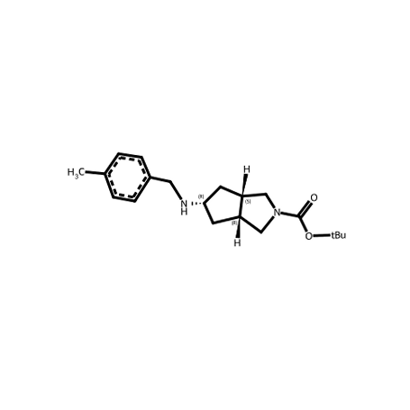 Cc1ccc(CN[C@@H]2C[C@@H]3CN(C(=O)OC(C)(C)C)C[C@@H]3C2)cc1